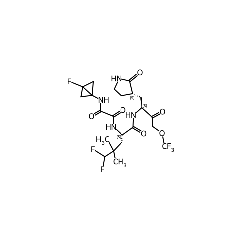 CC(C)(C[C@H](NC(=O)C(=O)NC12CC1(F)C2)C(=O)N[C@@H](C[C@@H]1CCNC1=O)C(=O)COC(F)(F)F)C(F)F